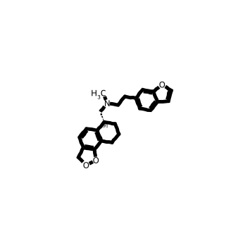 CN(CCc1ccc2ccoc2c1)C[C@@H]1CCCc2c1ccc1c2OOC1